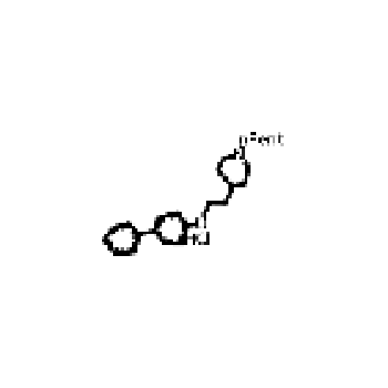 CCCCCN1CCC(CCOc2ccc(-c3ccccc3)cc2)CC1.Cl